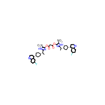 CC(c1nc(OC(=O)CC(=O)Oc2nc(C(C)[C@H]3CC[C@@H](c4ccnc5ccc(F)cc54)CC3)[nH]c2[N+](=O)[O-])c([N+](=O)[O-])[nH]1)[C@H]1CC[C@@H](c2ccnc3ccc(F)cc32)CC1